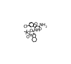 CC(C)(C)OC(=O)N1C2CCCCC2C[C@H]1C(=O)Nc1c(C(N)=O)oc2ccc(Cl)cc12